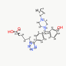 C=CCN1CCN([C@H](c2ccc(-c3nnnn3CCCCC(=O)O)cc2)c2cccc(O)c2)CC1